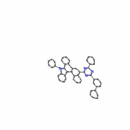 c1ccc(-c2cccc(-c3nc(-c4ccccc4)nc(-c4cc5c6ccccc6c6c(c7ccccc7n6-c6ccccc6)c5c5ccccc45)n3)c2)cc1